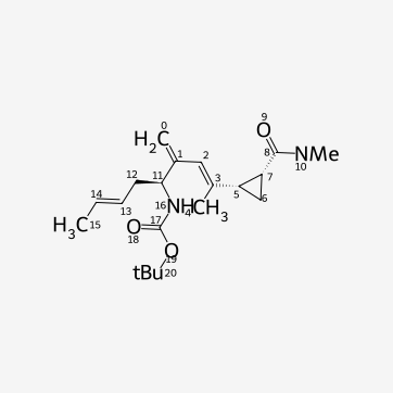 C=C(/C=C(\C)[C@H]1C[C@H]1C(=O)NC)[C@H](C/C=C/C)NC(=O)OC(C)(C)C